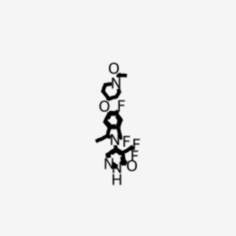 CC(=O)N1CCC(Oc2cc3c(cc2F)CN(c2cn[nH]c(=O)c2C(F)(F)F)C3C)CC1